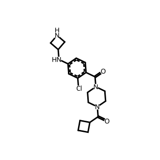 O=C(c1ccc(NC2CNC2)cc1Cl)N1CCN(C(=O)C2CCC2)CC1